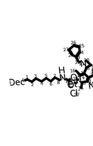 CCCCCCCCCCCCCCCCCCNC(=O)O[N+]1(CC)C(C)=C(C2CCN2Cc2ccccc2)C(C(=O)OC)=C(N)C1C.[Cl-]